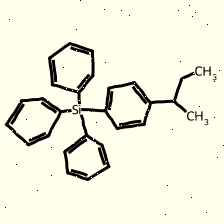 CCC(C)c1ccc([Si](c2ccccc2)(c2ccccc2)c2ccccc2)cc1